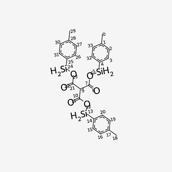 Cc1ccc([SiH2]OC(=O)[C](C(=O)O[SiH2]c2ccc(C)cc2)C(=O)O[SiH2]c2ccc(C)cc2)cc1